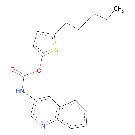 CCCCCc1ccc(OC(=O)Nc2cnc3ccccc3c2)s1